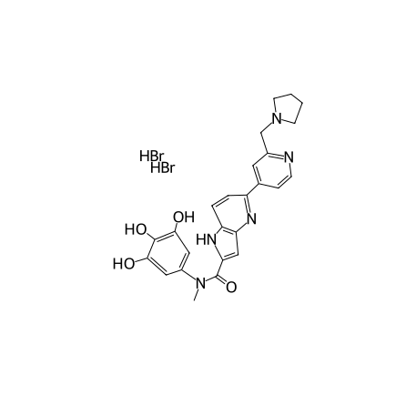 Br.Br.CN(C(=O)c1cc2nc(-c3ccnc(CN4CCCC4)c3)ccc2[nH]1)c1cc(O)c(O)c(O)c1